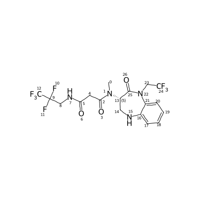 CN(C(=O)CC(=O)NCC(F)(F)C(F)(F)F)[C@H]1CNc2ccccc2N(CC(F)(F)F)C1=O